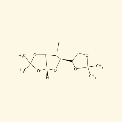 CC1(C)OCC([C@H]2O[C@@H]3OC(C)(C)OC3[C@@H]2F)O1